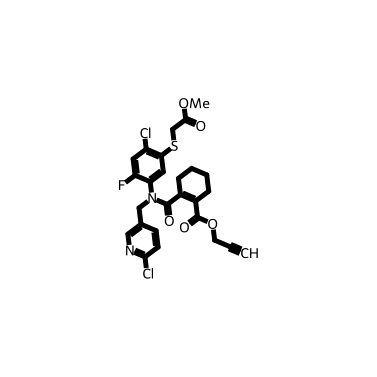 C#CCOC(=O)C1=C(C(=O)N(Cc2ccc(Cl)nc2)c2cc(SCC(=O)OC)c(Cl)cc2F)CCCC1